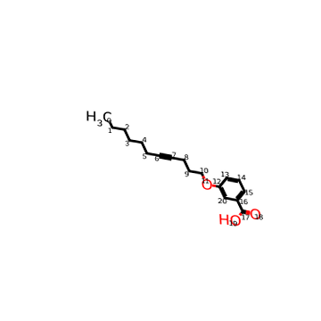 CCCCCCC#CCCCOc1cccc(C(=O)O)c1